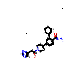 NC(=O)c1ccc(C2CCN(C(=O)Cc3cnc[nH]3)CC2)cc1C1=CCCCC1